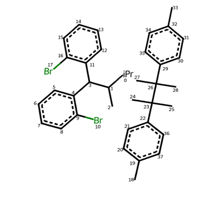 CC(C)C(C)C(c1ccccc1Br)c1ccccc1Br.Cc1ccc(C(C)(C)C(C)(C)c2ccc(C)cc2)cc1